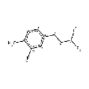 Cc1ccc(CCC(F)F)cc1F